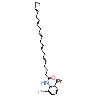 CCC=CCC=CCC=CCC=CCC=CCCCC(=O)Nc1c(C(C)C)cccc1C(C)C